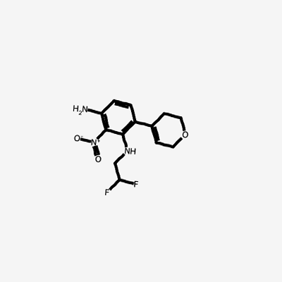 Nc1ccc(C2=CCOCC2)c(NCC(F)F)c1[N+](=O)[O-]